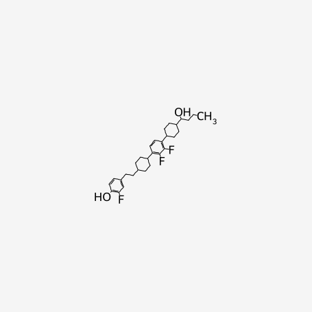 CCCC(O)C1CCC(c2ccc(C3CCC(CCc4ccc(O)c(F)c4)CC3)c(F)c2F)CC1